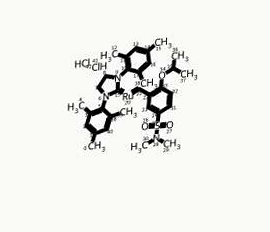 Cc1cc(C)c(N2CCN(c3c(C)cc(C)cc3C)[C]2=[Ru]=[CH]c2cc(S(=O)(=O)N(C)C)ccc2OC(C)C)c(C)c1.Cl.Cl